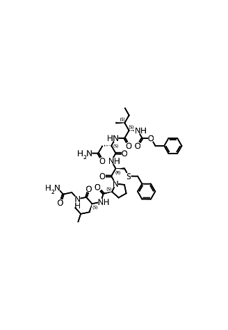 CC[C@H](C)[C@H](NC(=O)OCc1ccccc1)C(=O)N[C@@H](CC(N)=O)C(=O)N[C@@H](CSCc1ccccc1)C(=O)N1CCC[C@H]1C(=O)N[C@@H](CC(C)C)C(=O)NCC(N)=O